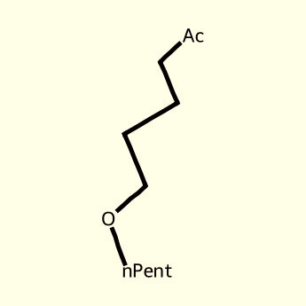 CCCCCOCCCCC(C)=O